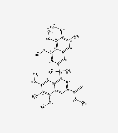 COC(=O)c1cc2c(OC)c(C)c(OC)cc2c(C(C)(C)c2cc3cc(C)c(OC)c(OC)c3c(CO)n2)n1